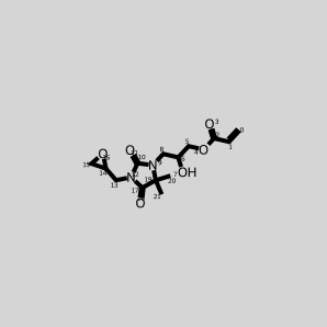 C=CC(=O)OCC(O)CN1C(=O)N(CC2CO2)C(=O)C1(C)C